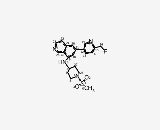 CS(=O)(=O)N1CCC(Nc2cc(-c3ccc(CF)nc3)cc3ccncc23)CC1